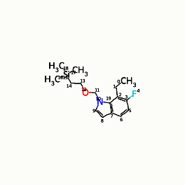 CCc1c(F)ccc2ccn(COCC[Si](C)(C)C)c12